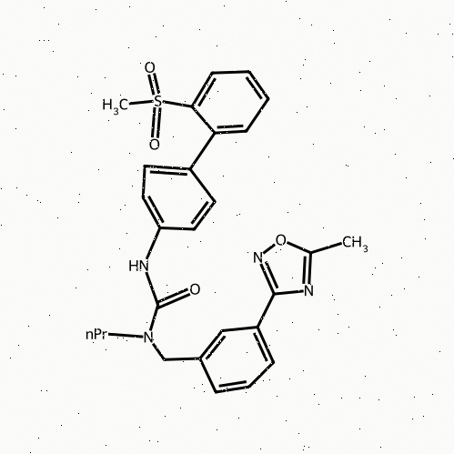 CCCN(Cc1cccc(-c2noc(C)n2)c1)C(=O)Nc1ccc(-c2ccccc2S(C)(=O)=O)cc1